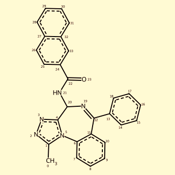 Cc1nnc2n1-c1ccccc1C(c1ccccc1)=NC2NC(=O)c1ccc2ccccc2c1